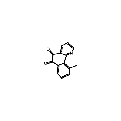 Cc1cccc2c1-c1ncccc1C(=O)C2=O